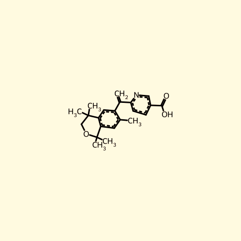 C=C(c1ccc(C(=O)O)cn1)c1cc2c(cc1C)C(C)(C)OCC2(C)C